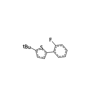 CC(C)(C)c1ccc(-c2ccccc2F)s1